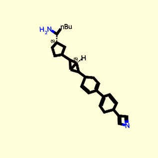 CCCCC(N)[C@H]1CCC(C2C3C(C4C=CC(C5=CCC(C6=CN=C6)C=C5)=CC4)[C@H]23)C1